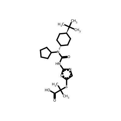 CC(C)(Sc1cnc(NC(=O)N(C2CCCC2)[C@H]2CC[C@H](C(C)(C)C)CC2)s1)C(=O)O